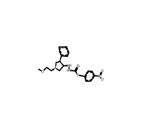 COCCN1CC(NNC(=O)Oc2ccc([N+](=O)[O-])cc2)C(c2ccccc2)C1